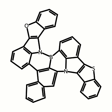 c1ccc2c3c4c(cc2c1)-n1c2c(cccc2c2sc5ccccc5c21)B4n1c2c-3cccc2c2oc3ccccc3c21